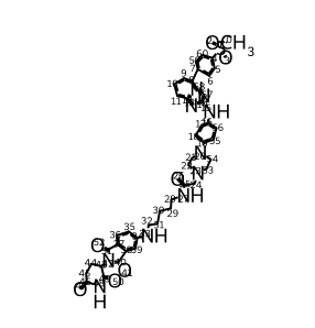 CS(=O)(=O)c1ccc(-c2cccc3nc(Nc4ccc(N5CCN(CC(=O)NCCCCCNc6ccc7c(c6)C(=O)N(C6CCC(=O)NC6=O)C7=O)CC5)cc4)nn23)cc1